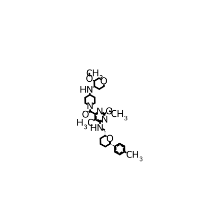 COc1nc(NC[C@H]2CCC[C@@H](c3ccc(C)cc3)O2)c(C)c(C(=O)N2CCC(N[C@H]3CCOC[C@H]3OC)CC2)n1